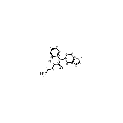 CCCCC(=O)C(c1ccccc1F)N1CCc2sccc2C1